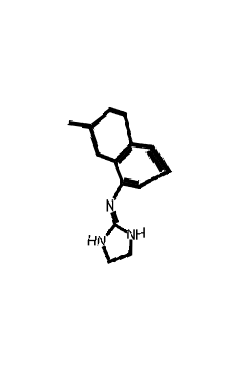 CC1CCc2cccc(N=C3NCCN3)c2C1